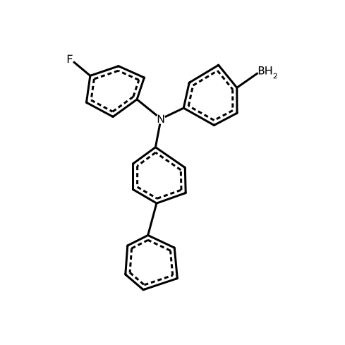 Bc1ccc(N(c2ccc(F)cc2)c2ccc(-c3ccccc3)cc2)cc1